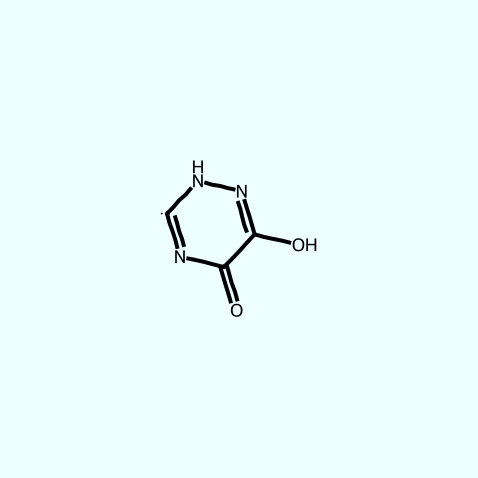 O=c1n[c][nH]nc1O